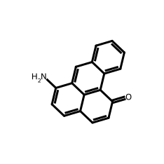 Nc1ccc2c3c(c4ccccc4cc13)C(=O)C=C2